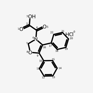 Cl.O=C(O)C(=O)N1COC(c2ccccc2)=C1c1ccccc1